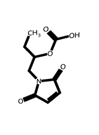 CCC(CN1C(=O)C=CC1=O)OC(=O)O